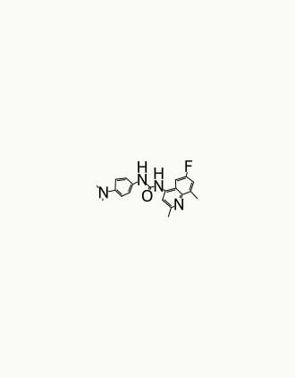 Cc1cc(NC(=O)Nc2ccc(N(C)C)cc2)c2cc(F)cc(C)c2n1